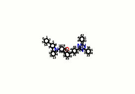 c1ccc(-c2ccc3c(c2)c2ccccc2n3-c2ccc3oc4c(-c5ccc(-c6nc(-c7ccccc7)nc(-c7ccccc7)n6)cc5)cccc4c3c2)cc1